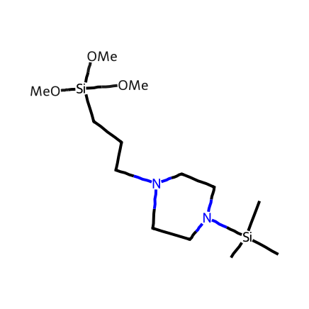 CO[Si](CCCN1CCN([Si](C)(C)C)CC1)(OC)OC